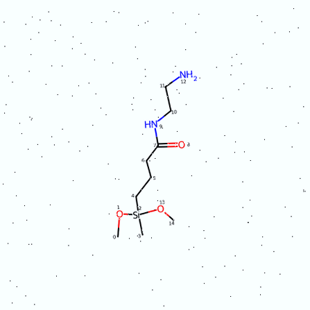 CO[Si](C)(CCCC(=O)NCCN)OC